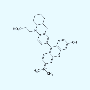 C[N+](C)=c1ccc2c(-c3ccc4c(c3)SC3CCCCC3N4CCC(=O)O)c3ccc(O)cc3oc-2c1